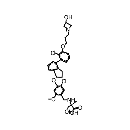 COc1cc(O[C@H]2CCc3c(-c4cccc(OCCCN5CC(O)C5)c4Cl)cccc32)c(Cl)cc1CN[C@@](C)(CO)C(=O)O